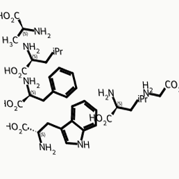 CC(C)C[C@H](N)C(=O)O.CC(C)C[C@H](N)C(=O)O.C[C@H](N)C(=O)O.NCC(=O)O.N[C@@H](Cc1c[nH]c2ccccc12)C(=O)O.N[C@@H](Cc1ccccc1)C(=O)O